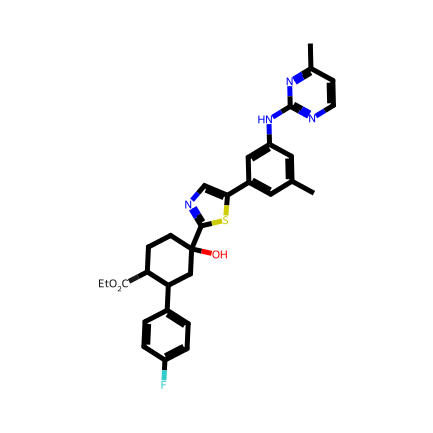 CCOC(=O)C1CCC(O)(c2ncc(-c3cc(C)cc(Nc4nccc(C)n4)c3)s2)CC1c1ccc(F)cc1